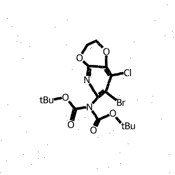 CC(C)(C)OC(=O)N(C(=O)OC(C)(C)C)c1nc2c(c(Cl)c1Br)OCCO2